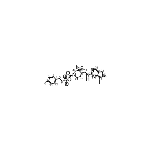 Cc1ccc(CCS(=O)(=O)OC(=O)N2CC[C@H](CNc3ncc4cn[nH]c4n3)C(F)(F)C2)cc1